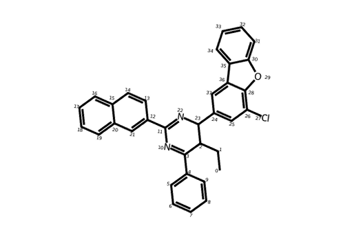 CCC1C(c2ccccc2)=NC(c2ccc3ccccc3c2)=NC1c1cc(Cl)c2oc3ccccc3c2c1